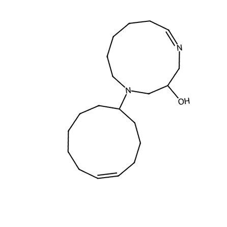 OC1CN=CCCCCCN(C2CCCC=CCCCCC2)C1